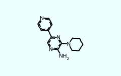 Nc1ncc(-c2ccncc2)nc1N1CCCCC1